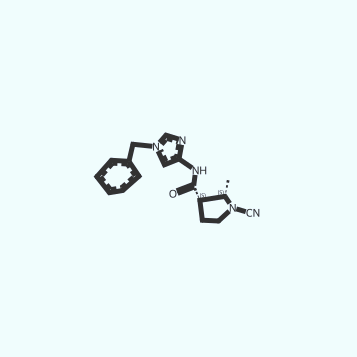 C[C@H]1[C@@H](C(=O)Nc2cn(Cc3ccccc3)cn2)CCN1C#N